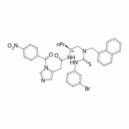 CCC[C@@H](CN(Cc1cccc2ccccc12)C(=S)Nc1cccc(Br)c1)NC(=O)Cc1cncn1C(=O)c1ccc([N+](=O)[O-])cc1